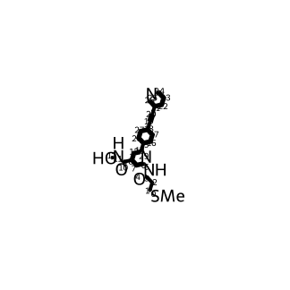 CSCCC(=O)Nc1cc(C(=O)NO)cc(-c2ccc(C#Cc3cccnc3)cc2)n1